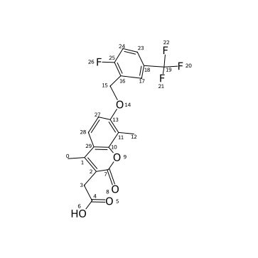 Cc1c(CC(=O)O)c(=O)oc2c(C)c(OCc3cc(C(F)(F)F)ccc3F)ccc12